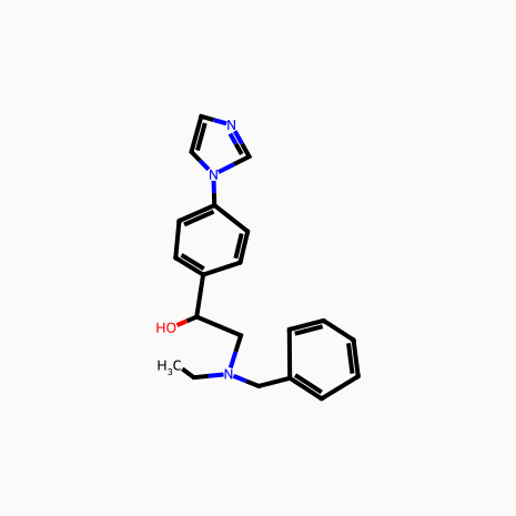 CCN(Cc1ccccc1)CC(O)c1ccc(-n2ccnc2)cc1